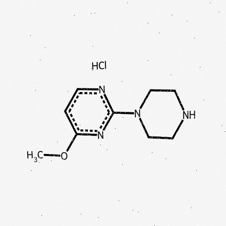 COc1ccnc(N2CCNCC2)n1.Cl